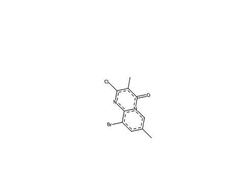 Cc1cc(Br)c2nc(Cl)c(C)c(=O)n2c1